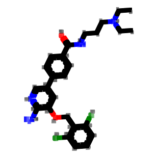 CCN(CC)CCCNC(=O)c1ccc(-c2cnc(N)c(OCc3c(Cl)cccc3Cl)c2)cc1